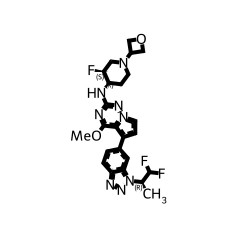 COc1nc(N[C@@H]2CCN(C3COC3)C[C@@H]2F)nn2ccc(-c3ccc4nnn([C@H](C)C(F)F)c4c3)c12